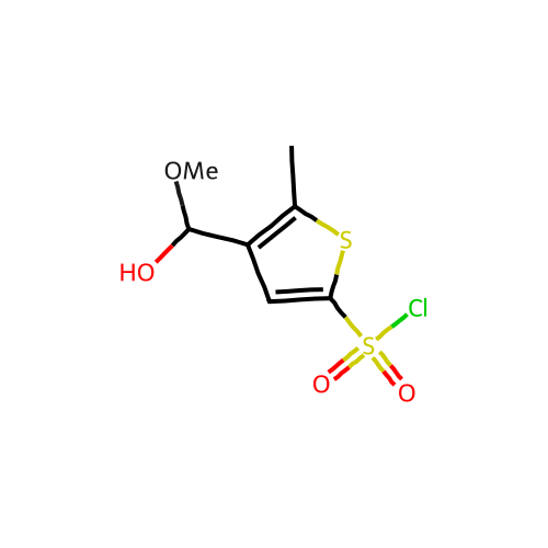 COC(O)c1cc(S(=O)(=O)Cl)sc1C